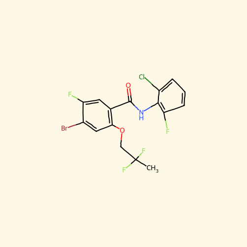 CC(F)(F)COc1cc(Br)c(F)cc1C(=O)Nc1c(F)cccc1Cl